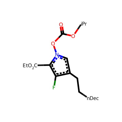 CCCCCCCCCCCCc1cn(OC(=O)OC(C)C)c(C(=O)OCC)c1F